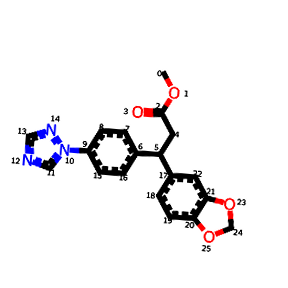 COC(=O)CC(c1ccc(-n2cncn2)cc1)c1ccc2c(c1)OCO2